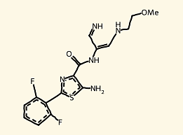 COCCN/C=C(\C=N)NC(=O)c1nc(-c2c(F)cccc2F)sc1N